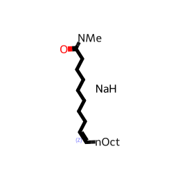 CCCCCCCC/C=C\CCCCCCCC(=O)NC.[NaH]